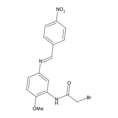 COc1ccc(N=Cc2ccc([N+](=O)[O-])cc2)cc1NC(=O)CBr